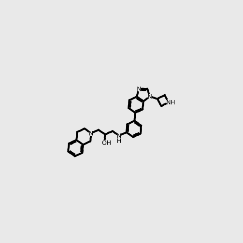 OC(CNc1cccc(-c2ccc3ncn(C4CNC4)c3c2)c1)CN1CCc2ccccc2C1